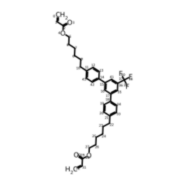 C=CC(=O)OCCCCCCc1ccc(-c2cc(-c3ccc(CCCCCCOC(=O)C=C)cc3)cc(C(F)(F)F)c2)cc1